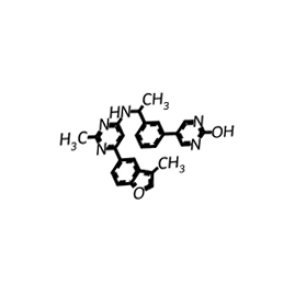 Cc1nc(NC(C)c2cccc(-c3cnc(O)nc3)c2)cc(-c2ccc3occ(C)c3c2)n1